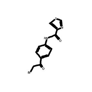 O=C(CBr)c1ccc(NC(=O)c2cscn2)cc1